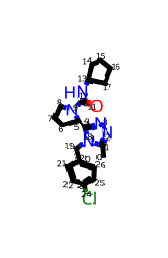 Cc1nnc([C@H]2CCCN2C(=O)NC2CCCC2)n1Cc1ccc(Cl)cc1